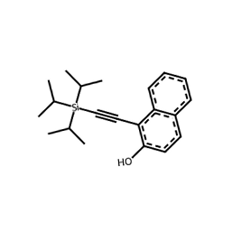 CC(C)[Si](C#Cc1c(O)ccc2ccccc12)(C(C)C)C(C)C